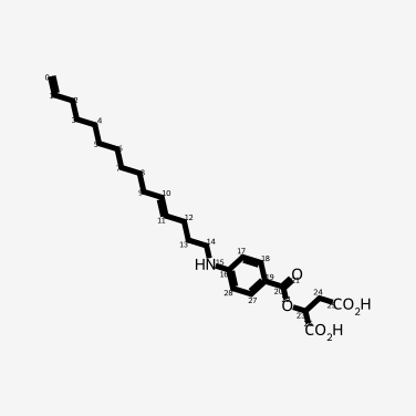 C=CCCCCCCCC/C=C/CCCNc1ccc(C(=O)OC(CC(=O)O)C(=O)O)cc1